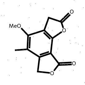 COc1c(C)c2c(c3c1CC(=O)O3)C(=O)OC2